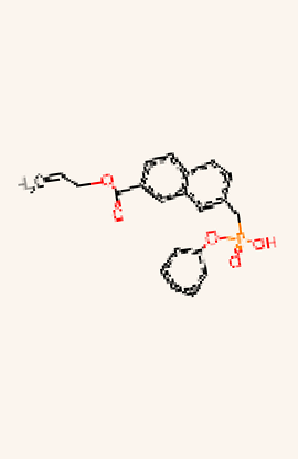 C=CCOC(=O)c1ccc2ccc(CP(=O)(O)Oc3ccccc3)cc2c1